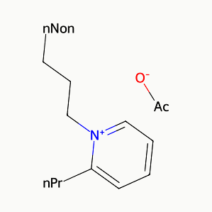 CC(=O)[O-].CCCCCCCCCCCC[n+]1ccccc1CCC